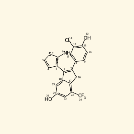 Nc1sccc1C1=C(c2ccc(O)c(Cl)c2)Cc2c1cc(O)cc2C(F)(F)F